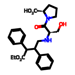 CCOC(=O)C(c1ccccc1)C(CN[C@@H](CO)C(=O)N1CCC[C@H]1C(=O)O)c1ccccc1